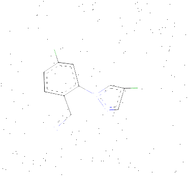 NCc1ccc(F)cc1-n1cc(Cl)cn1